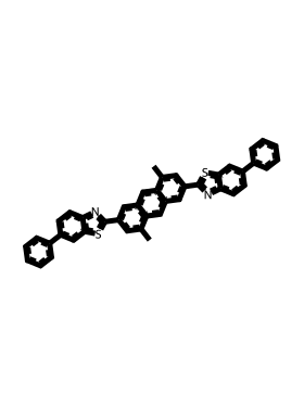 Cc1cc(-c2nc3ccc(-c4ccccc4)cc3s2)cc2cc3c(C)cc(-c4nc5ccc(-c6ccccc6)cc5s4)cc3cc12